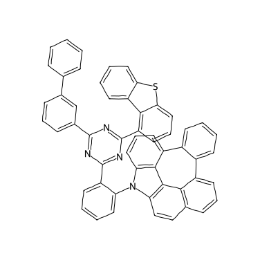 c1ccc(-c2cccc(-c3nc(-c4ccccc4-n4c5cccc6c5c5c7c(cccc7ccc54)-c4ccccc4-6)nc(-c4cccc5sc6ccccc6c45)n3)c2)cc1